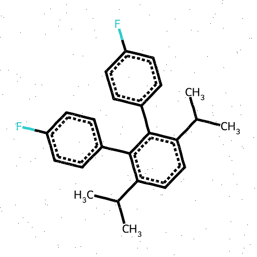 CC(C)c1ccc(C(C)C)c(-c2ccc(F)cc2)c1-c1ccc(F)cc1